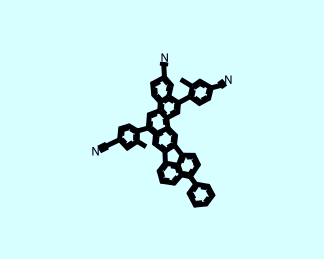 Cc1cc(C#N)ccc1-c1cc2c3cc4c(cc3c(-c3ccc(C#N)cc3C)cc2c2ccc(C#N)cc12)-c1cccc2c(-c3ccccc3)ccc-4c12